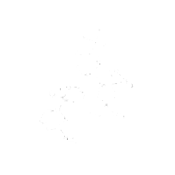 CC1(C)CN(c2nc(C(F)(F)F)ccc2C(=O)NS(=O)(=O)c2cccc(N)n2)C(C)(C)C1